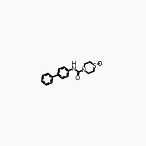 O=C(Nc1ccc(-c2ccccc2)cc1)N1CC[S+]([O-])CC1